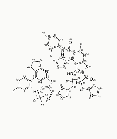 Cc1ccc(-c2c3c(nc4sc(C(=O)c5ccc(CC(C)(C)Nc6c(C(=O)NCc7ccco7)sc7nc(C)c(C(=O)Nc8ccc(C)cc8C)c(-c8ccco8)c67)s5)c(NC(C)(C)C)c24)CCC3)cc1